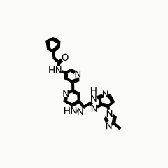 Cc1cn(-c2ccnc3[nH]c(-c4n[nH]c5cnc(-c6cncc(NC(=O)Cc7ccccc7)c6)cc45)nc23)cn1